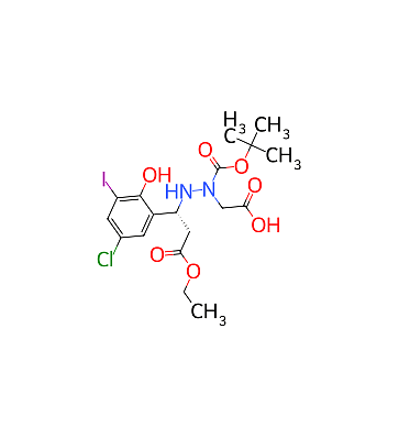 CCOC(=O)C[C@@H](NN(CC(=O)O)C(=O)OC(C)(C)C)c1cc(Cl)cc(I)c1O